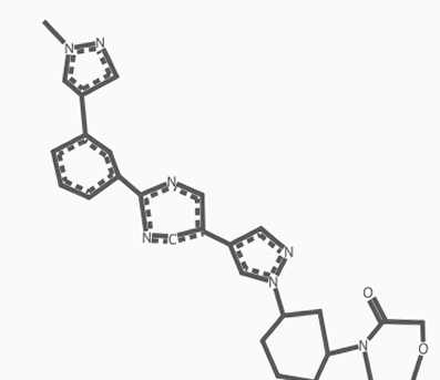 Cn1cc(-c2cccc(-c3ncc(-c4cnn(C5CCCC(N6CCOCC6=O)C5)c4)cn3)c2)cn1